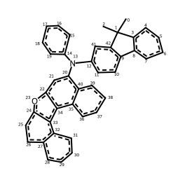 CC1(C)c2ccccc2-c2ccc(N(c3ccccc3)c3cc4oc5ccc6ccccc6c5c4c4ccccc34)cc21